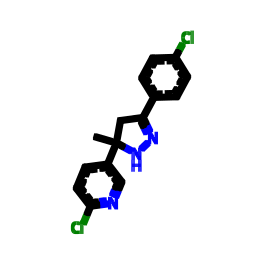 CC1(c2ccc(Cl)nc2)CC(c2ccc(Cl)cc2)=NN1